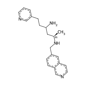 C[C@H](CC(N)CCc1cccnc1)NCc1ccc2cnccc2c1